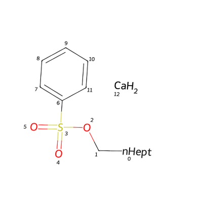 CCCCCCCCOS(=O)(=O)c1ccccc1.[CaH2]